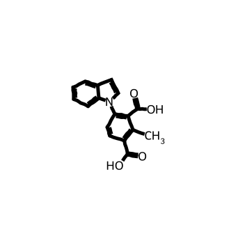 Cc1c(C(=O)O)ccc(-n2ccc3ccccc32)c1C(=O)O